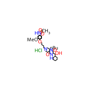 CCCCN1C(=O)[C@@H]([C@H](O)C2CCCCC2)NC(=O)C12CCN(CCCCOc1ccc(NS(C)(=O)=O)cc1OC)CC2.Cl